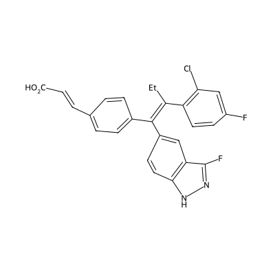 CCC(=C(c1ccc(C=CC(=O)O)cc1)c1ccc2[nH]nc(F)c2c1)c1ccc(F)cc1Cl